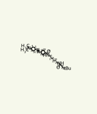 CN(C)c1ccc(/N=N/c2ccc(C(=O)NCCCCCCNC(=O)/C=C/C(C)(C)C)cc2)cc1